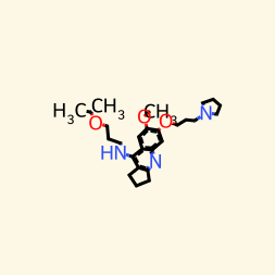 COc1cc2c(NCCCOC(C)C)c3c(nc2cc1OCCCN1CCCC1)CCC3